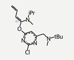 C=C/C=C(/Oc1cc(CN(C)C(C)(C)C)nc(Cl)n1)N(C)C(C)C